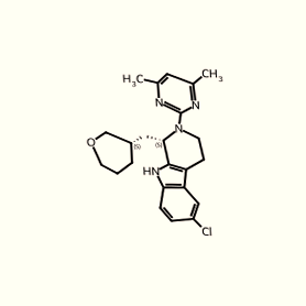 Cc1cc(C)nc(N2CCc3c([nH]c4ccc(Cl)cc34)[C@@H]2C[C@@H]2CCCOC2)n1